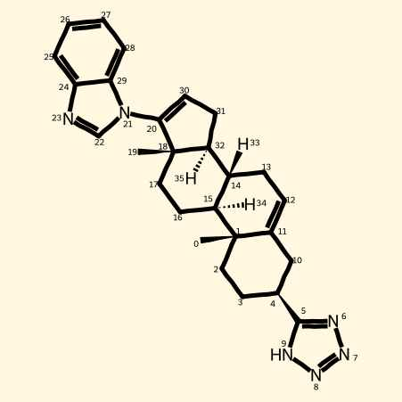 C[C@]12CC[C@H](c3nnn[nH]3)CC1=CC[C@@H]1[C@@H]2CC[C@]2(C)C(n3cnc4ccccc43)=CC[C@@H]12